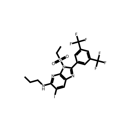 CCCNc1nc2c(cc1I)nc(-c1cc(C(F)(F)F)cc(C(F)(F)F)c1)n2S(=O)(=O)CC